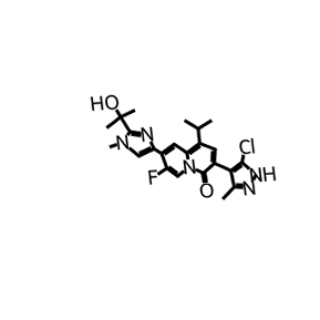 Cc1n[nH]c(Cl)c1-c1cc(C(C)C)c2cc(-c3cn(C)c(C(C)(C)O)n3)c(F)cn2c1=O